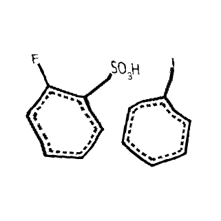 Ic1ccccc1.O=S(=O)(O)c1ccccc1F